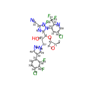 C[C@H]1OCC1OC(c1nc(C#N)nn1-c1cc(Cl)cnc1C(F)(F)F)[C@@H](O)Cn1cc(-c2ccc(Cl)c(F)c2F)cn1